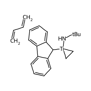 C=CC=C.CC(C)(C)[NH][Ti]1([CH]2c3ccccc3-c3ccccc32)[CH2][CH2]1